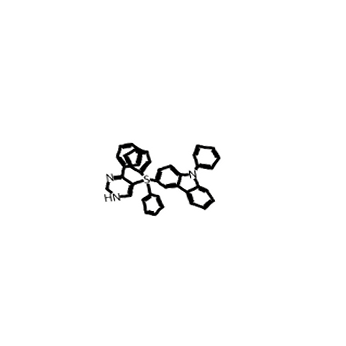 C1=C(S(c2ccccc2)(c2ccccc2)c2ccc3c(c2)c2ccccc2n3-c2ccccc2)C(c2ccccc2)=NCN1